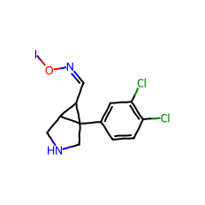 Clc1ccc(C23CNCC2C3/C=N\OI)cc1Cl